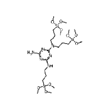 CO[Si](CCCNc1nc(N)nc(N(CCC[Si](OC)(OC)OC)CCC[Si](OC)(OC)OC)n1)(OC)OC